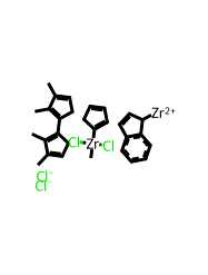 CC1=CCC(C2=C(C)C(C)=CC2)=C1C.[CH3][Zr]([Cl])([Cl])[C]1=CC=CC1.[Cl-].[Cl-].[Zr+2][CH]1C=Cc2ccccc21